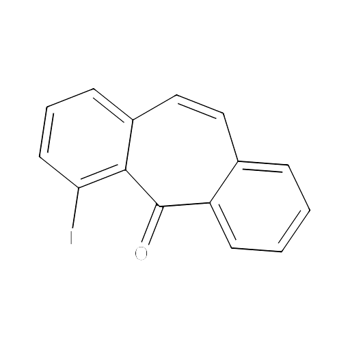 O=c1c2ccccc2ccc2cccc(I)c12